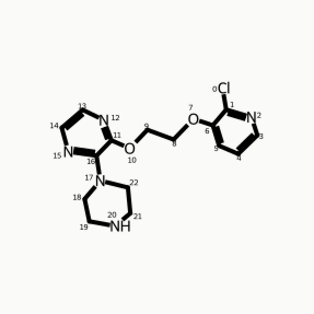 Clc1ncccc1OCCOc1nccnc1N1CCNCC1